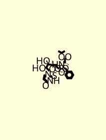 CC(C)OC(=O)[C@H](C)NP(=O)(OC[C@@]1(C)O[C@@H](n2ccc(=O)[nH]c2=S)[C@@H](O)[C@H]1O)Oc1ccccc1